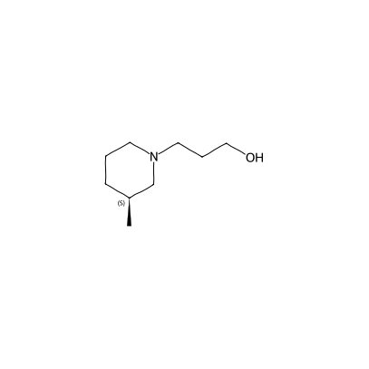 C[C@H]1CCCN(CCCO)C1